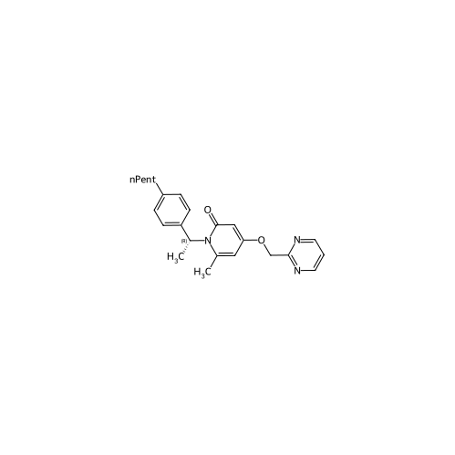 CCCCCc1ccc([C@@H](C)n2c(C)cc(OCc3ncccn3)cc2=O)cc1